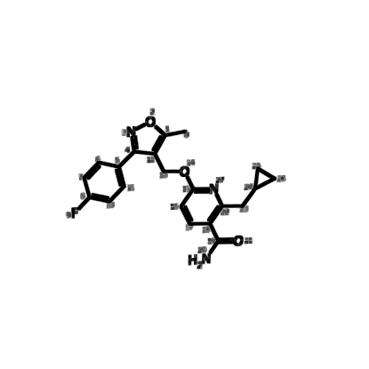 Cc1onc(-c2ccc(F)cc2)c1COc1ccc(C(N)=O)c(CC2CC2)n1